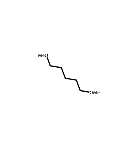 CO[CH]CCC[CH]OC